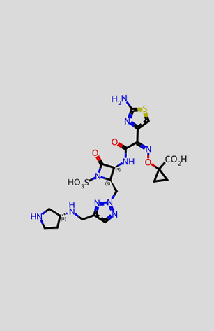 Nc1nc(C(=NOC2(C(=O)O)CC2)C(=O)N[C@@H]2C(=O)N(S(=O)(=O)O)[C@@H]2Cn2ncc(CN[C@@H]3CCNC3)n2)cs1